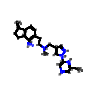 C=C1CCc2c1ccc(CCN(CCC)Cc1cnn(-c3cncc(C)n3)c1)c2N